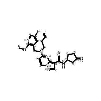 C=CCCN(Cc1cc(F)cnc1OC)c1ccn2ncc(C(=O)NC3CCC(=O)C3)c2n1